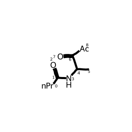 CCCC(=O)NC(C)C(=O)C(C)=O